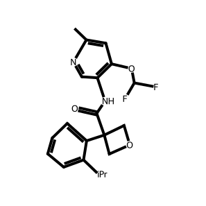 Cc1cc(OC(F)F)c(NC(=O)C2(c3ccccc3C(C)C)COC2)cn1